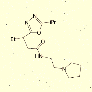 CCC(CC(=O)NCCN1CCCC1)c1nnc(C(C)C)o1